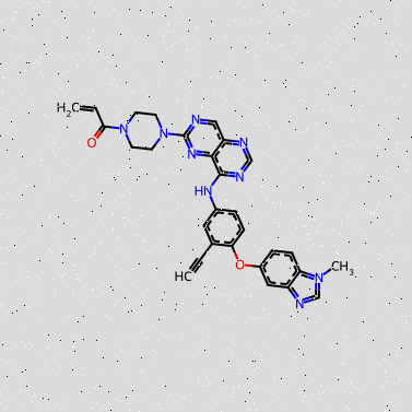 C#Cc1cc(Nc2ncnc3cnc(N4CCN(C(=O)C=C)CC4)nc23)ccc1Oc1ccc2c(c1)ncn2C